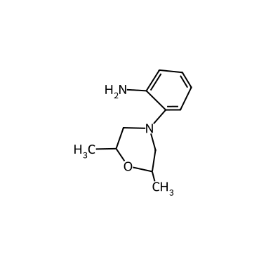 CC1CN(c2ccccc2N)CC(C)O1